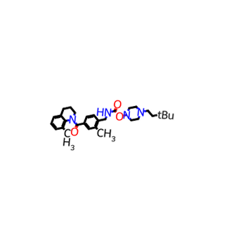 Cc1cc(C(=O)N2CCCc3cccc(C)c32)ccc1CNC(=O)ON1CCN(CCC(C)(C)C)CC1